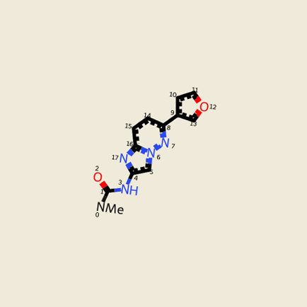 CNC(=O)Nc1cn2nc(-c3ccoc3)ccc2n1